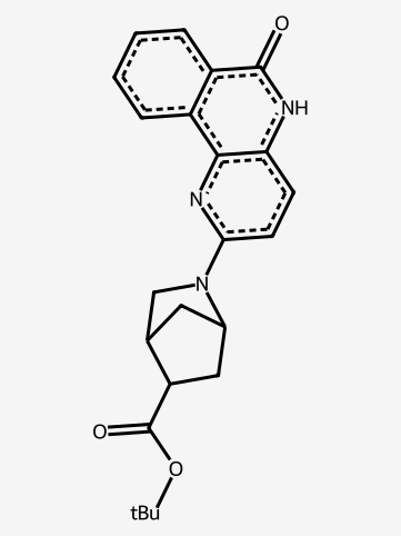 CC(C)(C)OC(=O)C1CC2CC1CN2c1ccc2[nH]c(=O)c3ccccc3c2n1